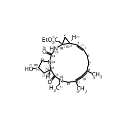 CCOC(=O)[C@@]12C[C@H]1/C=C\CCC(C)=C=C(C)CN(C)C(=O)[C@@H]1C[C@@H](O)CN1C(=O)N2